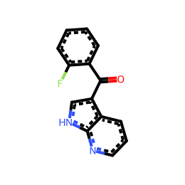 O=C(c1ccccc1F)c1c[nH]c2ncccc12